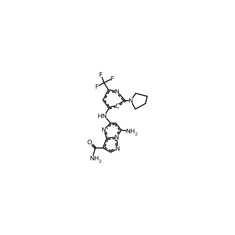 NC(=O)c1cnn2c(N)cc(Nc3cc(N4CCCC4)nc(C(F)(F)F)c3)nc12